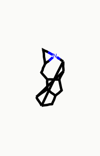 C1C2CC3C4C2C2CC5CN5C3C4C12